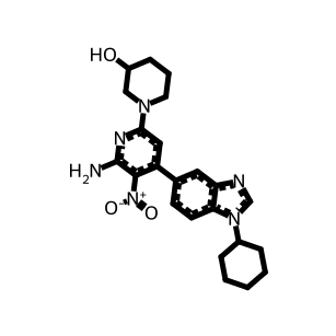 Nc1nc(N2CCCC(O)C2)cc(-c2ccc3c(c2)ncn3C2CCCCC2)c1[N+](=O)[O-]